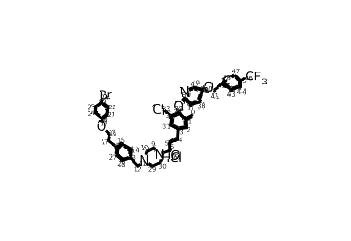 Cc1cc(C=CC(=O)N2CCN(Cc3ccc(CCOc4ccc(Br)cc4)cc3)CC2)cc(Cl)c1Oc1ccc(OCc2ccc(C(F)(F)F)cc2)cn1.Cl